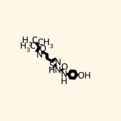 CC(C)(C)c1cnc(C=Cc2cnc(NC(=O)Nc3ccc(O)cc3)s2)o1